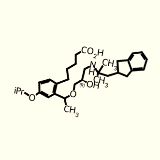 CC(C)Oc1ccc(CCCCC(=O)O)c(C(C)OC[C@H](O)CNC(C)(C)CC2Cc3ccccc3C2)c1